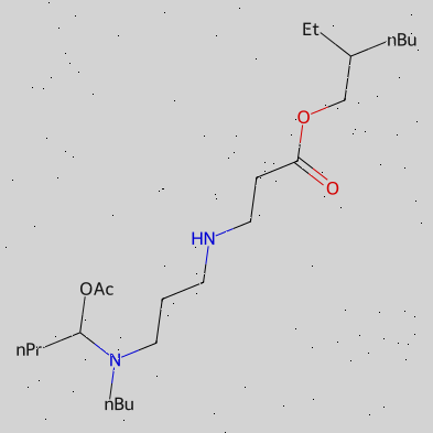 CCCCC(CC)COC(=O)CCNCCCN(CCCC)C(CCC)OC(C)=O